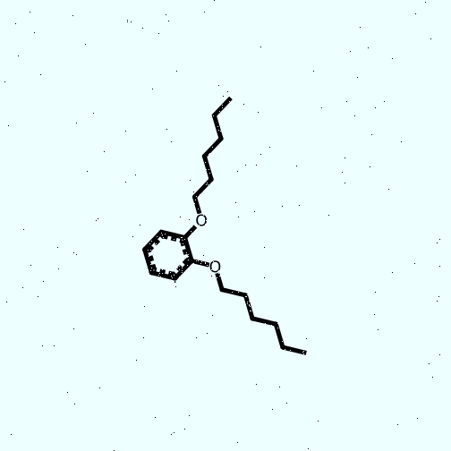 CCCCCCOc1[c]cccc1OCCCCCC